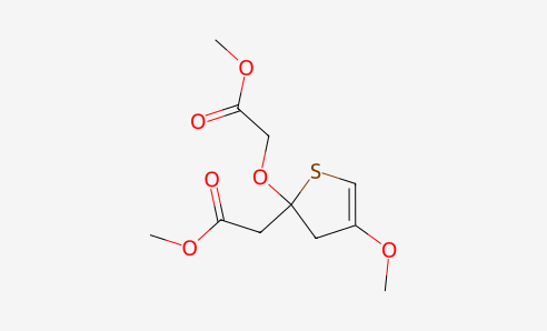 COC(=O)COC1(CC(=O)OC)CC(OC)=CS1